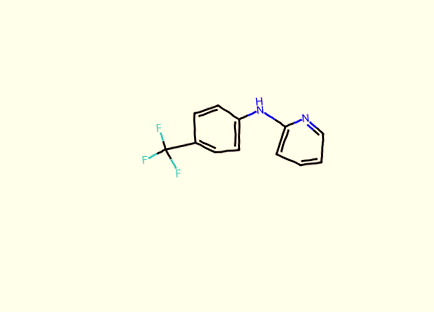 FC(F)(F)c1ccc(Nc2ccccn2)cc1